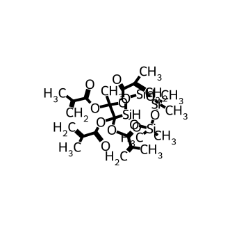 C=C(C)C(=O)OC(C)(OC(=O)C(=C)C)C(OC(=O)C(=C)C)(OC(=O)C(=C)C)[SiH]1O[SiH2]O[Si](C)(C)O[Si](C)(C)O1